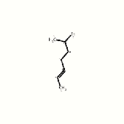 CC=CCCC(C)CC